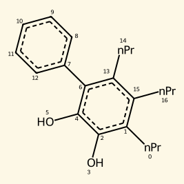 CCCc1c(O)c(O)c(-c2ccccc2)c(CCC)c1CCC